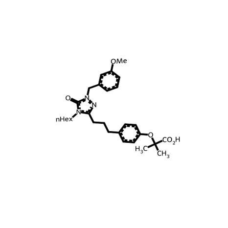 CCCCCCn1c(CCCc2ccc(OC(C)(C)C(=O)O)cc2)nn(Cc2cccc(OC)c2)c1=O